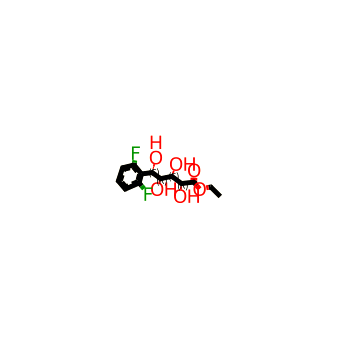 CCOC(=O)[C@H](O)[C@@H](O)[C@H](O)[C@@H](O)c1c(F)cccc1F